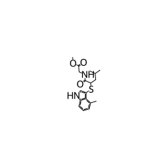 COC(=O)CNC(=O)C(CC(C)C)Sc1c[nH]c2cccc(C)c12